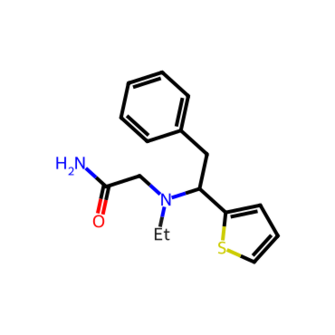 CCN(CC(N)=O)C(Cc1ccccc1)c1cccs1